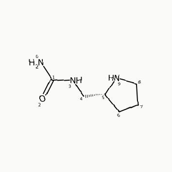 NC(=O)NC[C@H]1CCCN1